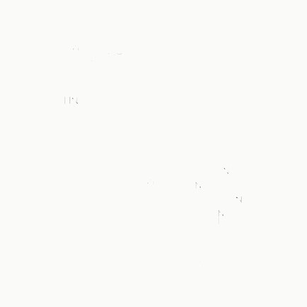 O=C(O)C1CC2CC(Oc3cccc(Cl)c3-c3nnn[nH]3)CCC2CN1